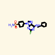 NS(=O)(=O)c1ccc(-n2cnc3c(NCc4ccccc4)nc(F)nc32)cc1